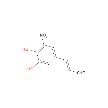 O=C/C=C/c1cc(O)c(O)c([N+](=O)[O-])c1